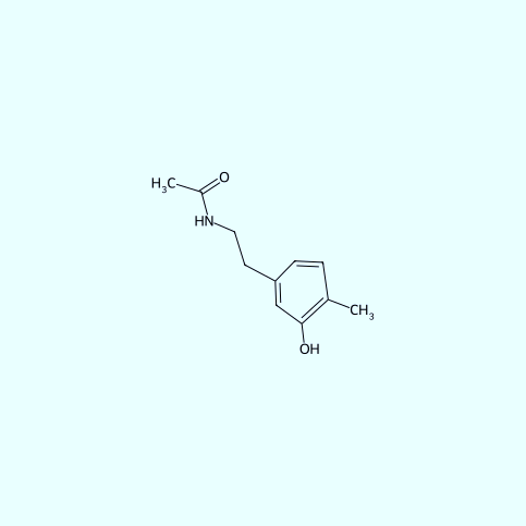 CC(=O)NCCc1ccc(C)c(O)c1